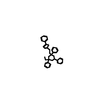 CCC1(c2ccccc2)CC(c2ccccc2)CC(CCc2ccc(-c3ccccc3)s2)(c2ccccc2)C1